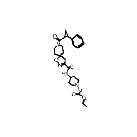 CCOC(=O)ON1CCC(NC(=O)C2=NOC3(CCN(C(=O)C4CC4c4ccccc4)CC3)C2)CC1